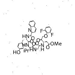 COC(=O)C[C@@H](NC(=O)[C@H](C)NC(=O)[C@@H](NC(=O)[C@H](Cc1ccc(O)cc1)NC(=O)c1ccc2ccccc2n1)C(C)C)C(=O)COc1c(F)cccc1F